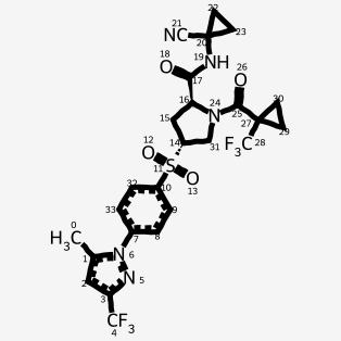 Cc1cc(C(F)(F)F)nn1-c1ccc(S(=O)(=O)[C@@H]2C[C@@H](C(=O)NC3(C#N)CC3)N(C(=O)C3(C(F)(F)F)CC3)C2)cc1